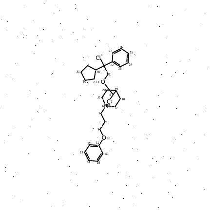 ClC(COC1C[N+]2(CCCOc3ccccc3)CCC1CC2)(c1ccccc1)C1CCCC1